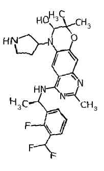 Cc1nc(N[C@H](C)c2cccc(C(F)F)c2F)c2cc3c(cc2n1)OC(C)(C)C(O)N3C1CCNC1